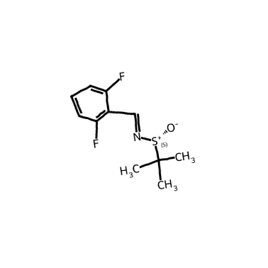 CC(C)(C)[S@@+]([O-])N=Cc1c(F)cccc1F